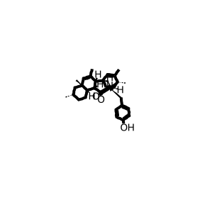 CC1=C[C@@]2(C)[C@H]3C(C)=C[C@@]4(C)C[C@@H](C)CC[C@@H]4[C@H]3C(=O)[C@]23C(=O)N[C@H](Cc2ccc(O)cc2)[C@@H]3[C@H]1C